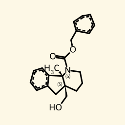 C[C@]12c3ccccc3C[C@@]1(CO)CCCN2C(=O)OCc1ccccc1